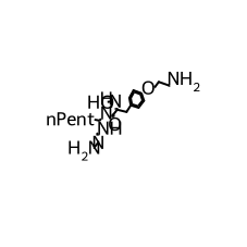 CCCCCC(NC=NN)NC(=O)C(Cc1ccc(OCCCN)cc1)=NO